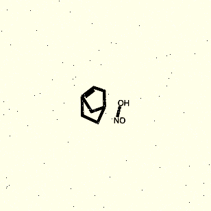 C1=C2CCC(C1)C2.O=NO